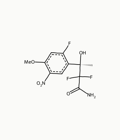 COc1cc(F)c([C@@](C)(O)C(F)(F)C(N)=O)cc1[N+](=O)[O-]